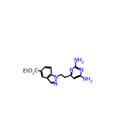 CCOC(=O)c1ccc2c(cnn2CCc2cc(N)nc(N)n2)c1